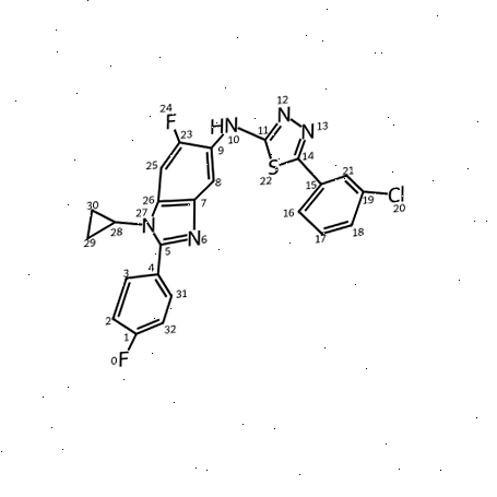 Fc1ccc(-c2nc3cc(Nc4nnc(-c5cccc(Cl)c5)s4)c(F)cc3n2C2CC2)cc1